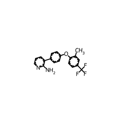 Cc1cc(C(F)(F)F)ccc1Oc1ccc(-c2cccnc2N)cc1